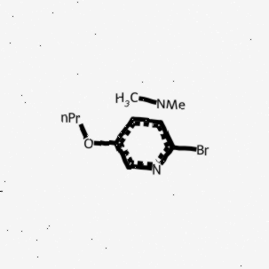 CCCOc1ccc(Br)nc1.CNC